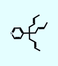 CC=CCC(CC=CC)(CC=CC)c1ccncc1